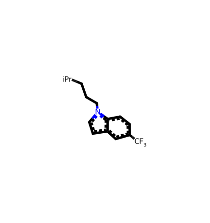 CC(C)CCCn1ccc2cc(C(F)(F)F)ccc21